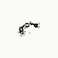 C[N+]1(CCCN2CCN(C(=O)/C=C/c3ccc(Cl)c(Cl)c3)CCC2=O)CCC2(CC1)NC(=O)NC2=O.[I-]